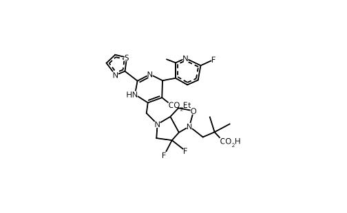 CCOC(=O)C1=C(CN2CC(F)(F)C3C2CON3CC(C)(C)C(=O)O)NC(c2nccs2)=NC1c1ccc(F)nc1C